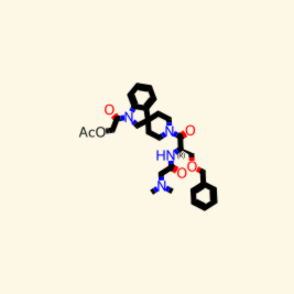 CC(=O)OCC(=O)N1CC2(CCN(C(=O)[C@@H](COCc3ccccc3)NC(=O)CN(C)C)CC2)c2ccccc21